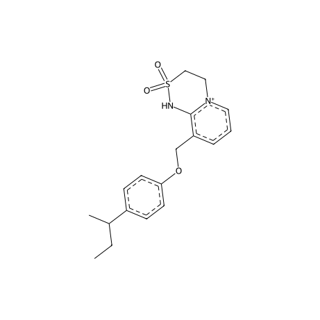 CCC(C)c1ccc(OCc2ccc[n+]3c2NS(=O)(=O)CC3)cc1